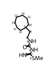 CSC(=N)NC(=O)NCCC1CCCCCCC1